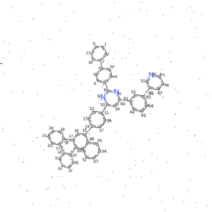 c1ccc(-c2ccc(-c3nc(-c4ccc(-c5cc6c7ccccc7c7ccccc7c6c6ccccc56)cc4)cc(-c4cccc(-c5cccnc5)c4)n3)cc2)cc1